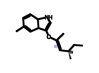 CC[C@H](C)/C=C(\C)OC1=CNC2C=CC(C)=CC12